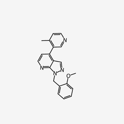 COc1ccccc1Cn1ncc2c(-c3cnccc3C)ccnc21